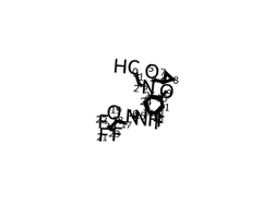 C#CCN1C(=O)C2(CC2)Oc2cc(F)c(N/N=C/C(=O)C(F)(F)F)cc21